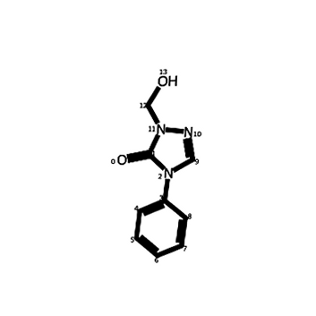 O=c1n(-c2ccccc2)cnn1CO